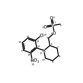 CS(=O)(=O)OCC1CCCCN1c1c(Cl)cccc1[N+](=O)[O-]